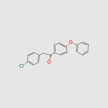 O=C(Cc1ccc(Cl)cc1)c1ccc(Oc2ccccc2)cc1